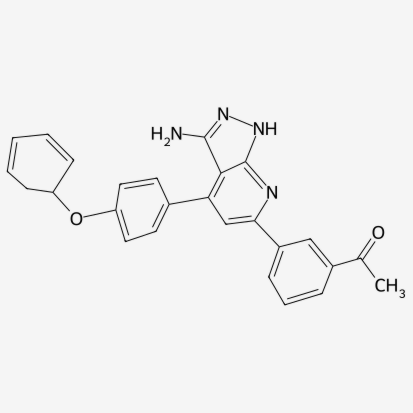 CC(=O)c1cccc(-c2cc(-c3ccc(OC4C=CC=CC4)cc3)c3c(N)n[nH]c3n2)c1